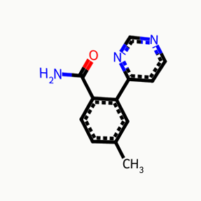 Cc1ccc(C(N)=O)c(-c2ccncn2)c1